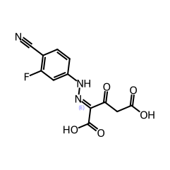 N#Cc1ccc(N/N=C(/C(=O)O)C(=O)CC(=O)O)cc1F